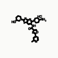 Cc1cc(-c2nc(C(=O)Nc3cc4sc(N5CCC[C@H](O)C5)nc4nc3N3CCC(N)CC3)co2)ccn1.Cl